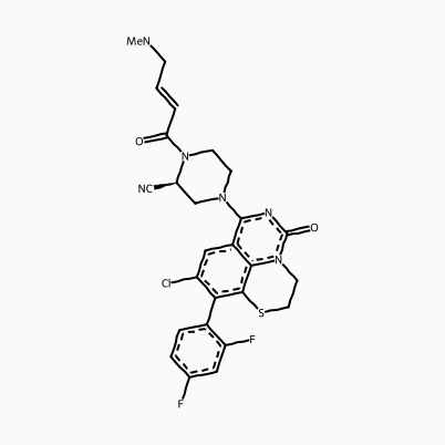 CNC/C=C/C(=O)N1CCN(c2nc(=O)n3c4c(c(-c5ccc(F)cc5F)c(Cl)cc24)SCC3)C[C@H]1C#N